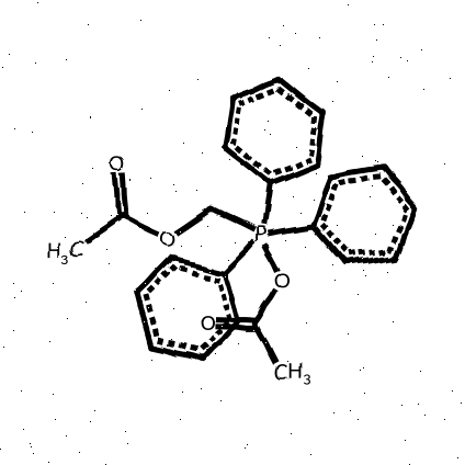 CC(=O)OCP(OC(C)=O)(c1ccccc1)(c1ccccc1)c1ccccc1